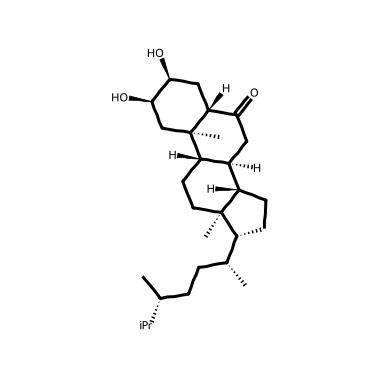 CC(C)[C@H](C)CC[C@@H](C)[C@H]1CC[C@H]2[C@@H]3CC(=O)[C@H]4C[C@H](O)[C@H](O)C[C@]4(C)[C@H]3CC[C@]12C